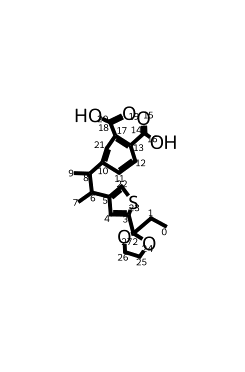 CCC1(c2cc(C(C)C(C)c3ccc(C(=O)O)c(C(=O)O)c3)cs2)OCCO1